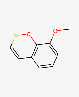 COc1cccc2c1OSC=C2